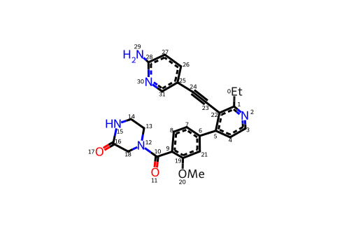 CCc1nccc(-c2ccc(C(=O)N3CCNC(=O)C3)c(OC)c2)c1C#Cc1ccc(N)nc1